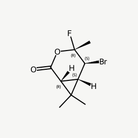 CC1(C)[C@@H]2[C@H]1C(=O)O[C@](C)(F)[C@H]2Br